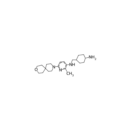 Cc1nc(N2CCC3(CCOCC3)CC2)ccc1NCC1CCC(N)CC1